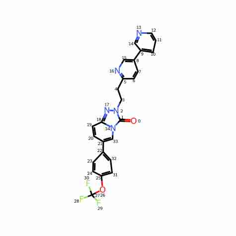 O=c1n(CCc2ccc(-c3cccnc3)cn2)nc2ccc(-c3ccc(OC(F)(F)F)cc3)cn12